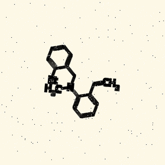 C=Cc1ccccc1N(C)Cc1ccccc1CC